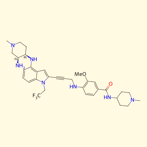 COc1cc(C(=O)NC2CCN(C)CC2)ccc1NCC#Cc1cc2c(N[C@@H]3CCN(C)C[C@@H]3N)cccc2n1CC(F)(F)F